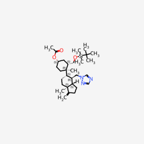 C=C1CC[C@H]2[C@H](Cn3cncn3)[C@@H]([C@@]3(C)CC[C@H](OC(C)=O)C[C@@H]3CO[Si](C)(C)C(C)(C)C)CC[C@]12C